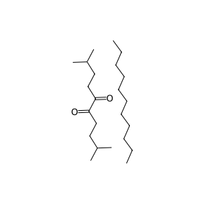 CC(C)CCC(=O)C(=O)CCC(C)C.CCCCCCCCCCC